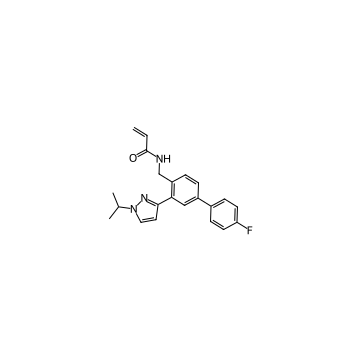 C=CC(=O)NCc1ccc(-c2ccc(F)cc2)cc1-c1ccn(C(C)C)n1